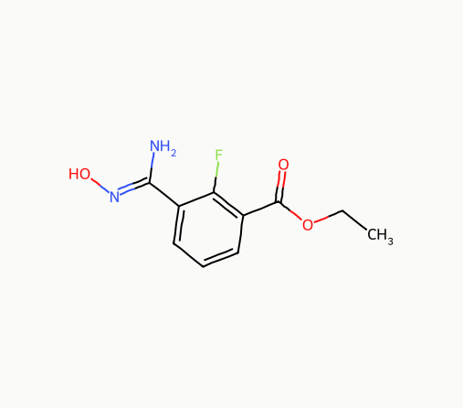 CCOC(=O)c1cccc(/C(N)=N/O)c1F